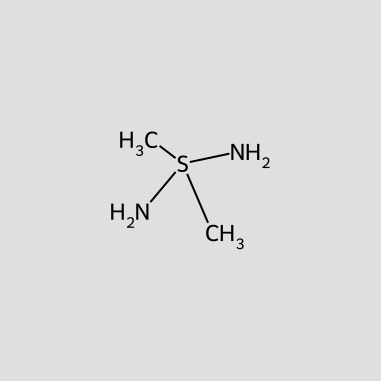 CS(C)(N)N